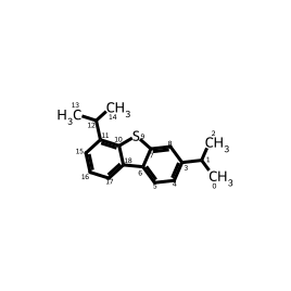 CC(C)c1ccc2c(c1)sc1c(C(C)C)cccc12